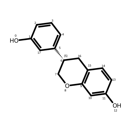 Oc1cccc([C@H]2COc3cc(O)ccc3C2)c1